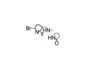 O=C1CC[C@@H](CNCc2ccc(Br)nc2F)N1